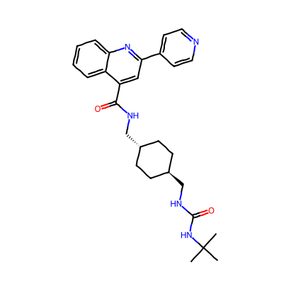 CC(C)(C)NC(=O)NC[C@H]1CC[C@H](CNC(=O)c2cc(-c3ccncc3)nc3ccccc23)CC1